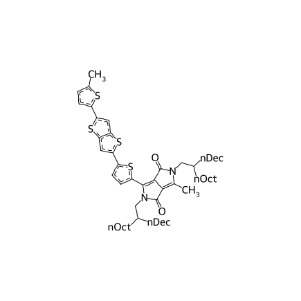 CCCCCCCCCCC(CCCCCCCC)CN1C(=O)C2=C(c3ccc(-c4cc5sc(-c6ccc(C)s6)cc5s4)s3)N(CC(CCCCCCCC)CCCCCCCCCC)C(=O)C2=C1C